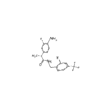 CC(C(=O)NCc1ccc(C(F)(F)F)cc1F)c1ccc(N)c(F)c1